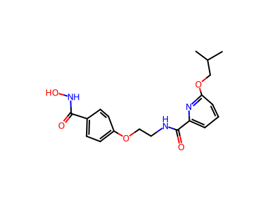 CC(C)COc1cccc(C(=O)NCCOc2ccc(C(=O)NO)cc2)n1